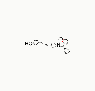 Oc1ccc(/C=C/C=C/c2ccc(N(C=C(c3ccccc3)c3ccccc3)c3ccccc3)cc2)cc1